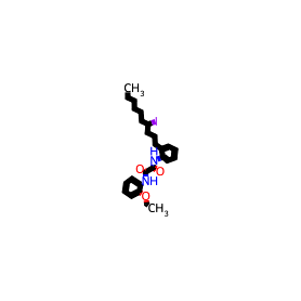 CCCCCCC(I)CCCc1ccccc1NC(=O)C(=O)Nc1ccccc1OCC